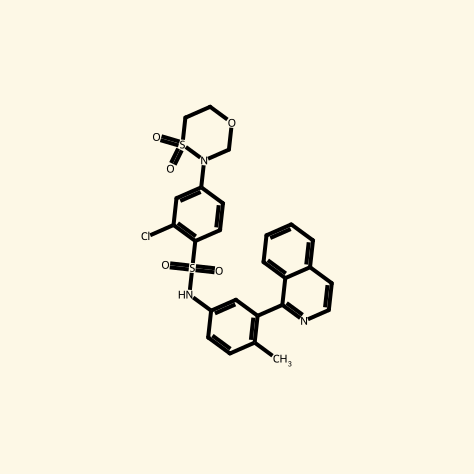 Cc1ccc(NS(=O)(=O)c2ccc(N3COCCS3(=O)=O)cc2Cl)cc1-c1nccc2ccccc12